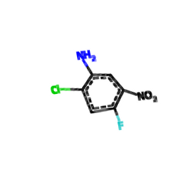 Nc1cc([N+](=O)[O-])c(F)cc1Cl